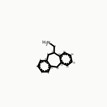 NCC1Cc2ccccc2Cc2ccccc21